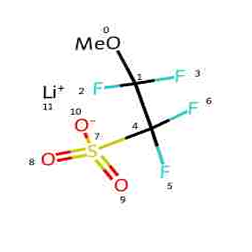 COC(F)(F)C(F)(F)S(=O)(=O)[O-].[Li+]